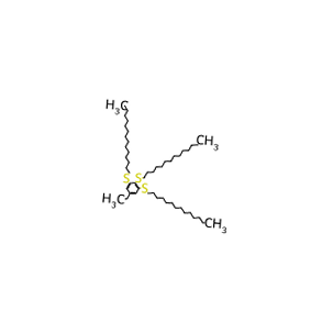 CCCCCCCCCCCCCCSc1cc(CC)cc(SCCCCCCCCCCCCCC)c1SCCCCCCCCCCCCCC